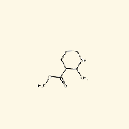 COC(=O)C1CCCNC1C